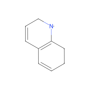 C1=CC2=C(CC1)[N]CC=C2